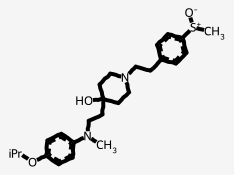 CC(C)Oc1ccc(N(C)CCC2(O)CCN(CCc3ccc([S+](C)[O-])cc3)CC2)cc1